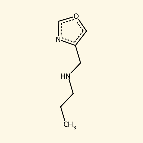 CCCNCc1cocn1